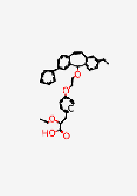 CCOC(Cc1ccc(OCCOC2c3ccc(CC)cc3C=Cc3ccc(-c4ccccc4)cc32)cc1)C(=O)O